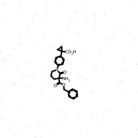 NC1(C(=O)OCc2ccccc2)CCCN(c2ccc(C3(C(=O)O)CC3)cc2)C1=O